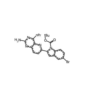 CCCc1nc(N)nc2ccc(-c3cc4cc(Br)ccc4n3C(=O)OC(C)(C)C)nc12